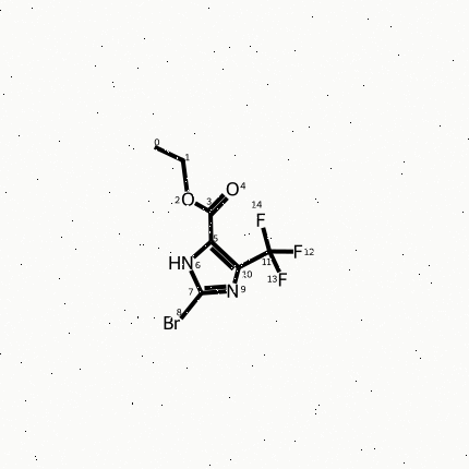 CCOC(=O)c1[nH]c(Br)nc1C(F)(F)F